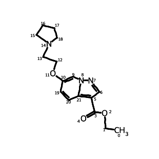 CCOC(=O)c1cnn2cc(OCCN3CCCC3)ccc12